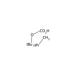 CC(C)(C)OC(=O)O.CCCC